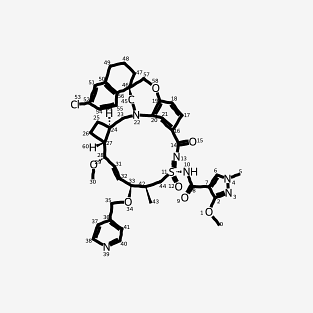 COc1nn(C)cc1C(=O)N[S@@]1(=O)=NC(=O)c2ccc3c(c2)N(C[C@@H]2CC[C@H]2[C@@H](OC)/C=C/[C@H](OCc2ccncc2)[C@H](C)C1)C[C@@]1(CCCc2cc(Cl)ccc21)CO3